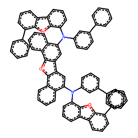 c1ccc(-c2cccc(N(c3cc4c5cc(N(c6cccc(-c7ccccc7)c6)c6cccc7c6oc6c(-c8ccccc8)cccc67)c6ccccc6c5oc4c4ccccc34)c3cccc4c3oc3c(-c5ccccc5)cccc34)c2)cc1